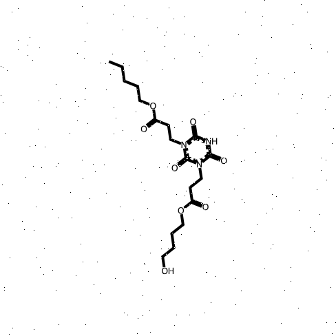 CCCCCOC(=O)CCn1c(=O)[nH]c(=O)n(CCC(=O)OCCCCO)c1=O